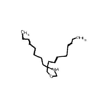 CCCCCCCCC1(CCCCCCCC)COCN1